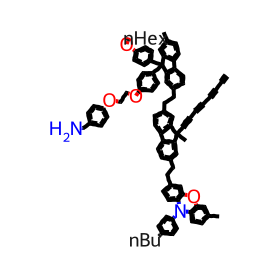 C#CC#CC#CC#CC1(C)c2cc(CCc3ccc4c(c3)Oc3cc(C)ccc3N4c3ccc(CCCC)cc3)ccc2-c2ccc(CCc3ccc4c(c3)C(c3ccc(OCCCCCC)cc3)(c3ccc(OCCOc5ccc(CN)cc5)cc3)c3cc(C)ccc3-4)cc21